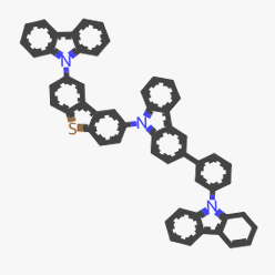 C1=Cc2c(n(-c3cccc(-c4ccc5c(c4)c4ccccc4n5-c4ccc5sc6ccc(-n7c8ccccc8c8ccccc87)cc6c5c4)c3)c3ccccc23)CC1